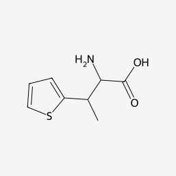 CC(c1cccs1)C(N)C(=O)O